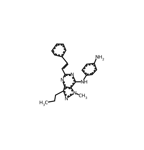 CCCc1nn(C)c2c(Nc3ccc(N)cc3)nc(/C=C/c3ccccc3)nc12